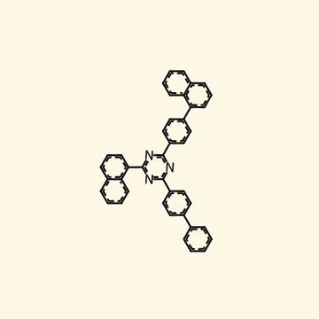 c1ccc(-c2ccc(-c3nc(-c4ccc(-c5cccc6ccccc56)cc4)nc(-c4cccc5ccccc45)n3)cc2)cc1